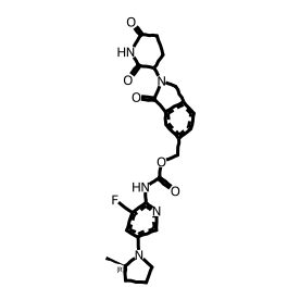 C[C@@H]1CCCN1c1cnc(NC(=O)OCc2ccc3c(c2)C(=O)N(C2CCC(=O)NC2=O)C3)c(F)c1